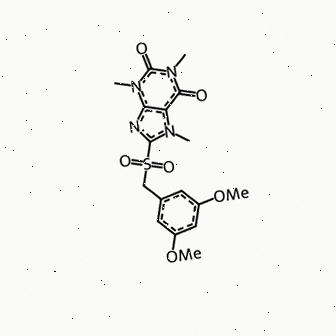 COc1cc(CS(=O)(=O)c2nc3c(c(=O)n(C)c(=O)n3C)n2C)cc(OC)c1